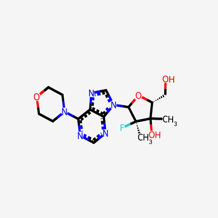 CC1(O)[C@@H](CO)OC(n2cnc3c(N4CCOCC4)ncnc32)[C@]1(C)F